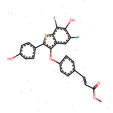 COC(=O)/C=C/c1ccc(Oc2c(-c3ccc(O)cc3)sc3c(F)c(O)c(F)cc23)cc1